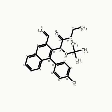 C=Cc1cc2ccccc2c(-c2ccc(Cl)cc2)c1[C@H](OC(C)(C)C)C(=O)OCC